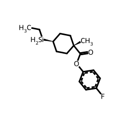 CC[SiH2][C@H]1CC[C@](C)(C(=O)Oc2ccc(F)cc2)CC1